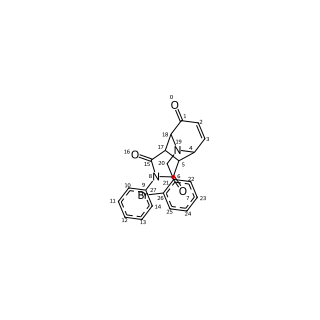 O=C1C=CC2C3C(=O)N(c4ccccc4)C(=O)C3C1N2Cc1ccccc1Br